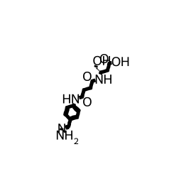 NN=Cc1ccc(NC(=O)CCC(=O)N[C@H](CO)CC(=O)O)cc1